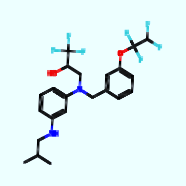 CC(C)CNc1cccc(N(Cc2cccc(OC(F)(F)C(F)F)c2)CC(O)C(F)(F)F)c1